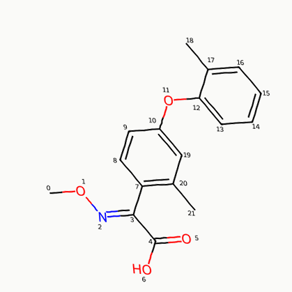 CO/N=C(/C(=O)O)c1ccc(Oc2ccccc2C)cc1C